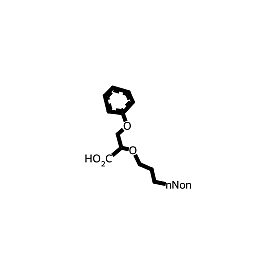 CCCCCCCCCCCCOC(COc1ccccc1)C(=O)O